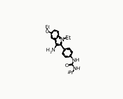 CCOc1ccc2c(c1)c(N)c(-c1ccc(NC(=O)NC(C)C)cc1)n2CC